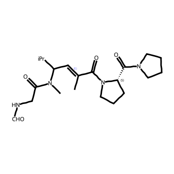 C/C(=C\C(C(C)C)N(C)C(=O)CNC=O)C(=O)N1CCC[C@H]1C(=O)N1CCCC1